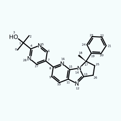 CC(C)(O)c1ncc(-c2ccc3nc4n(c3n2)[C@](C)(c2ccccc2)CC4)cn1